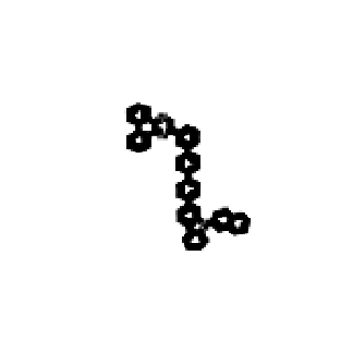 c1cc(-c2ccc(-c3ccc(-c4ccc5c6ccccc6n(-c6ccc7ccccc7c6)c5c4)cc3)cc2)cc(-c2cnc3c4ccccc4c4ccccc4c3n2)c1